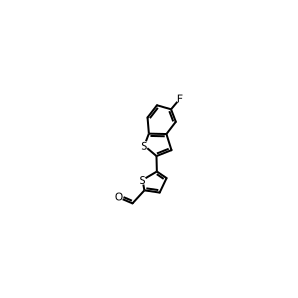 O=Cc1ccc(-c2cc3cc(F)ccc3s2)s1